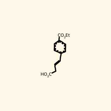 CCOC(=O)c1ccc(C=CCC(=O)O)cc1